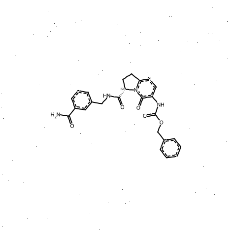 NC(=O)c1cccc(CNC(=O)[C@@H]2CCc3ncc(NC(=O)OCc4ccccc4)c(=O)n32)c1